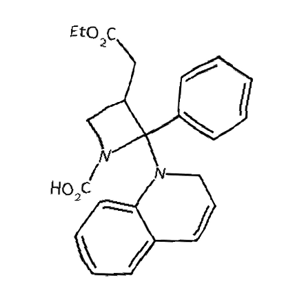 CCOC(=O)CC1CN(C(=O)O)C1(c1ccccc1)N1CC=Cc2ccccc21